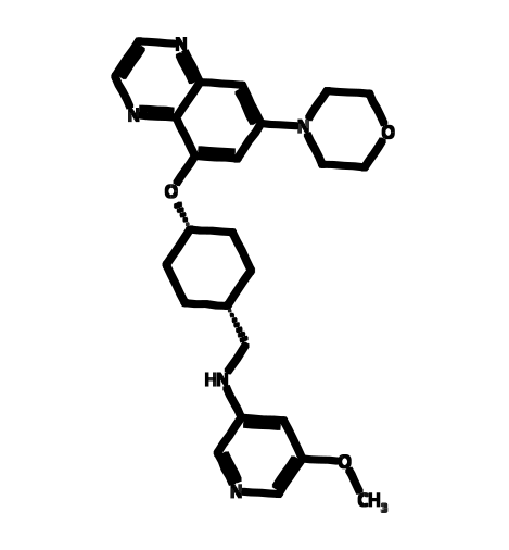 COc1cncc(NC[C@H]2CC[C@@H](Oc3cc(N4CCOCC4)cc4nccnc34)CC2)c1